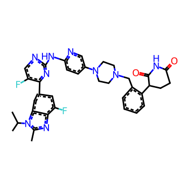 Cc1nc2c(F)cc(-c3nc(Nc4ccc(N5CCN(Cc6ccccc6C6CCC(=O)NC6=O)CC5)cn4)ncc3F)cc2n1C(C)C